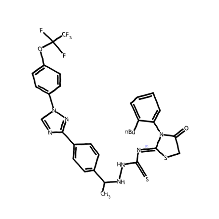 CCCCc1ccccc1N1C(=O)CS/C1=N\C(=S)NNC(C)c1ccc(-c2ncn(-c3ccc(OC(F)(F)C(F)(F)F)cc3)n2)cc1